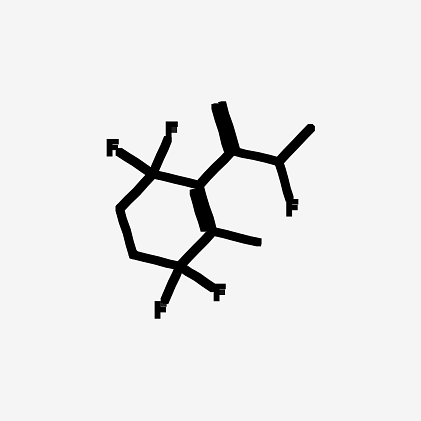 C=C(C1=C(C)C(F)(F)CCC1(F)F)C(C)F